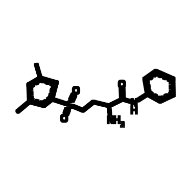 Cc1cc(C)cc(S(=O)(=O)CCC(N)C(=O)Nc2ccccc2)c1